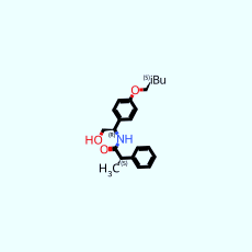 CC[C@H](C)COc1ccc([C@H](CO)NC(=O)[C@@H](C)c2ccccc2)cc1